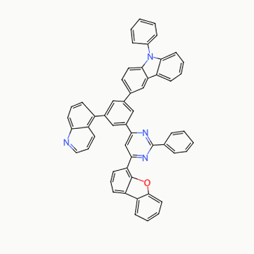 c1ccc(-c2nc(-c3cc(-c4ccc5c(c4)c4ccccc4n5-c4ccccc4)cc(-c4cccc5ncccc45)c3)cc(-c3cccc4c3oc3ccccc34)n2)cc1